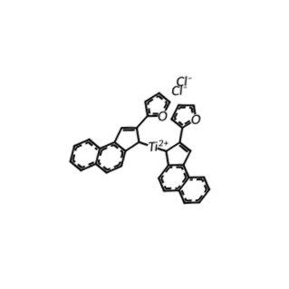 C1=C(c2ccco2)[CH]([Ti+2][CH]2C(c3ccco3)=Cc3c2ccc2ccccc32)c2ccc3ccccc3c21.[Cl-].[Cl-]